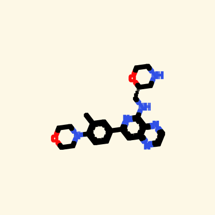 Cc1cc(-c2cc3nccnc3c(NC[C@H]3CNCCO3)n2)ccc1N1CCOCC1